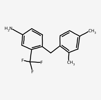 Cc1ccc(Cc2ccc(N)cc2C(F)(F)F)c(C)c1